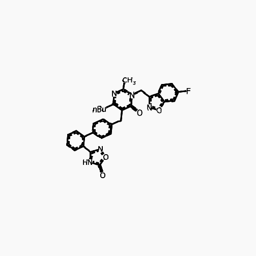 CCCCc1nc(C)n(Cc2noc3cc(F)ccc23)c(=O)c1Cc1ccc(-c2ccccc2-c2noc(=O)[nH]2)cc1